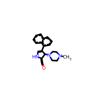 CN1CCN(C2C(=C=O)NC=C2c2cccc3ccccc23)CC1